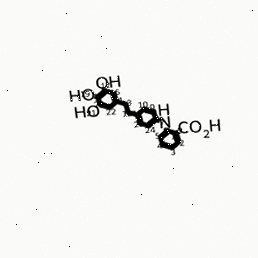 O=C(O)c1ccccc1Nc1ccc(CCc2cc(O)c(O)c(O)c2)cc1